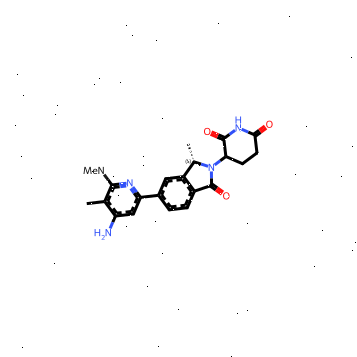 CNc1nc(-c2ccc3c(c2)[C@H](C)N(C2CCC(=O)NC2=O)C3=O)cc(N)c1C